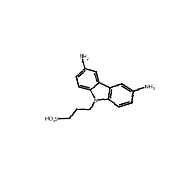 Nc1ccc2c(c1)c1cc(N)ccc1n2CCCS(=O)(=O)O